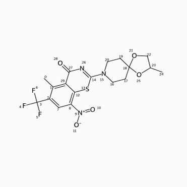 Cc1c(C(F)(F)F)cc([N+](=O)[O-])c2sc(N3CCC4(CC3)OCC(C)O4)nc(=O)c12